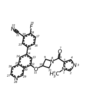 Cn1cncc1C(=O)N1CC(Oc2cc(-c3ccc(F)c(C#N)c3)cc3ccncc23)C1